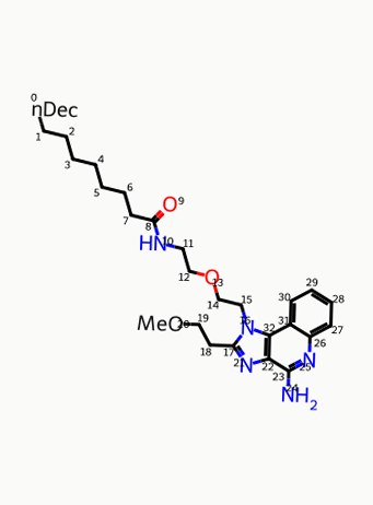 CCCCCCCCCCCCCCCCCC(=O)NCCOCCn1c(CCOC)nc2c(N)nc3ccccc3c21